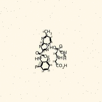 Cc1ccn2nc(S(=O)(=O)Nc3c(F)cccc3F)nc2n1.O=C(O)CNCP(=O)(O)O.[KH]